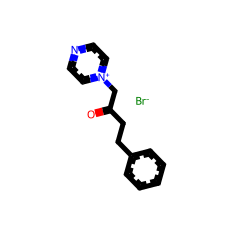 O=C(CCc1ccccc1)C[n+]1ccncc1.[Br-]